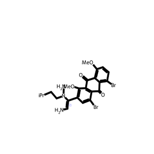 COc1ccc(Br)c2c1C(=O)c1c(OC)c(/C(=C/N)N(N)CCC(C)C)cc(Br)c1C2=O